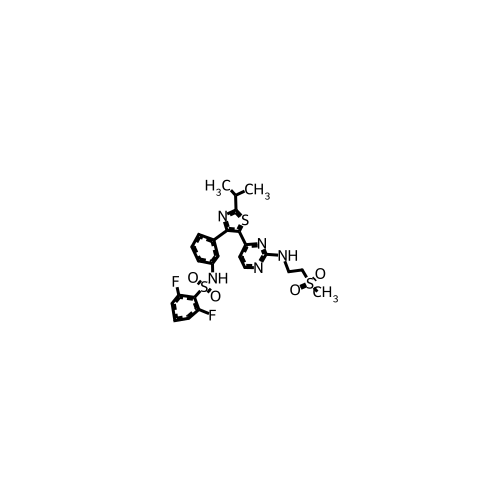 CC(C)c1nc(-c2cccc(NS(=O)(=O)c3c(F)cccc3F)c2)c(-c2ccnc(NCCS(C)(=O)=O)n2)s1